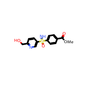 COC(=O)c1ccc(S(=N)(=O)c2ccc(CO)nc2)cc1